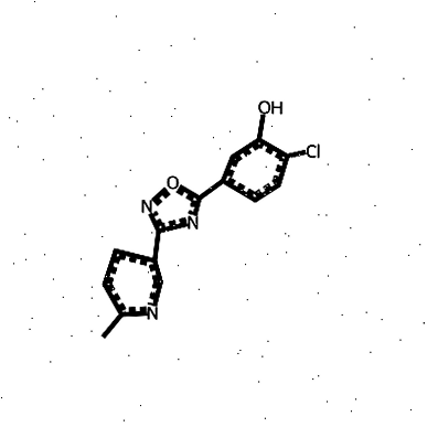 Cc1ccc(-c2noc(-c3ccc(Cl)c(O)c3)n2)cn1